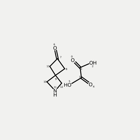 O=C(O)C(=O)O.O=C1CC2(CNC2)C1